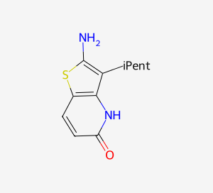 CCCC(C)c1c(N)sc2ccc(=O)[nH]c12